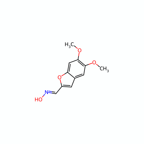 COc1cc2cc(C=NO)oc2cc1OC